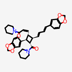 O=C(/C=C\[C@@H]1[C@@H](/C=C/C=C/c2ccc3c(c2)OCO3)[C@H](C(=O)N2CCCCC2)[C@H]1c1ccc2c(c1)OCO2)N1CCCCC1